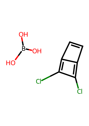 Clc1c2ccc-2c1Cl.OB(O)O